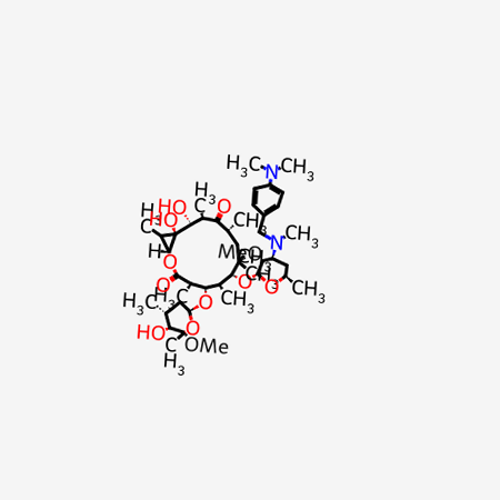 CO[C@H]1[C@H](O[C@@H]2[C@@H](C)[C@H](O[C@@H]3C[C@@H](C)[C@H](O)[C@](C)(OC)O3)[C@@H](C)C(=O)O[C@@H]3C(C)[C@]3(O)[C@H](O)[C@@H](C)C(=O)[C@H](C)CC2(C)C)O[C@H](C)C[C@@H]1N(C)Cc1ccc(N(C)C)cc1